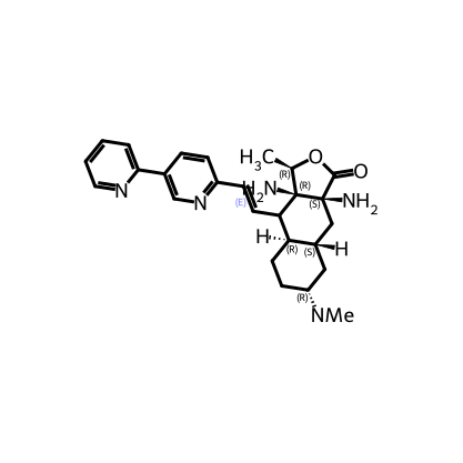 CN[C@@H]1CC[C@H]2C(/C=C/c3ccc(-c4ccccn4)cn3)[C@]3(N)[C@@H](C)OC(=O)[C@]3(N)C[C@@H]2C1